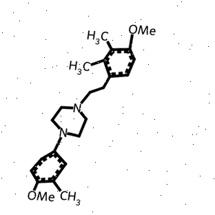 COc1ccc(N2CCN(CCc3ccc(OC)c(C)c3C)CC2)cc1C